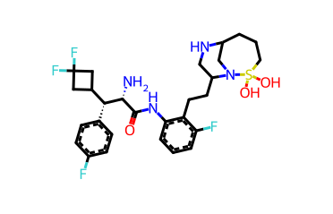 N[C@H](C(=O)Nc1cccc(F)c1CCC1CNC2CCCS(O)(O)N1C2)[C@H](c1ccc(F)cc1)C1CC(F)(F)C1